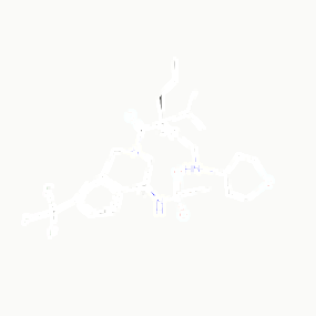 CCC[C@@](CCNC1CCOCC1)(C(=O)N1Cc2cc(C(F)(F)F)ccc2[C@H](NS(C)(=O)=O)C1)C(C)C